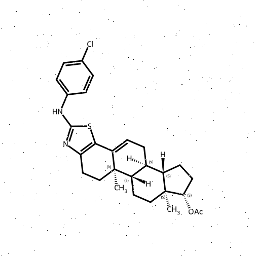 CC(=O)O[C@H]1CC[C@H]2[C@@H]3CC=C4c5sc(Nc6ccc(Cl)cc6)nc5CC[C@]4(C)[C@H]3CC[C@]12C